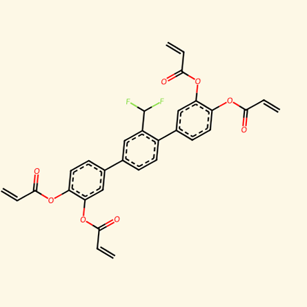 C=CC(=O)Oc1ccc(-c2ccc(-c3ccc(OC(=O)C=C)c(OC(=O)C=C)c3)c(C(F)F)c2)cc1OC(=O)C=C